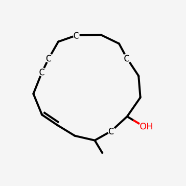 CC1CC=CCCCCCCCCCCC(O)C1